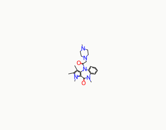 Cc1c2c(n(C)c1C)C(=O)N(C)c1ccccc1N2C(=O)CN1CCN(C)CC1